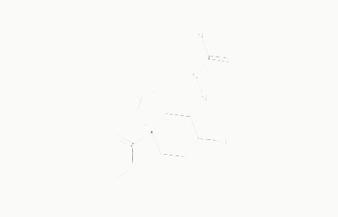 CC1CCC(OC=O)(C(=O)OC(C)(C)C)CC1NNC(N)=O